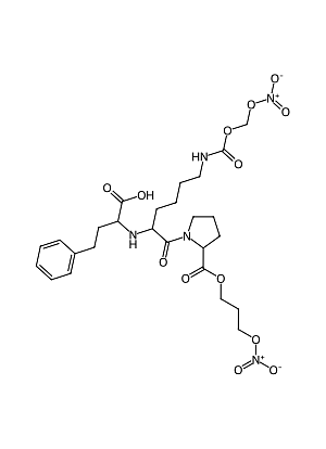 O=C(NCCCCC(NC(CCc1ccccc1)C(=O)O)C(=O)N1CCCC1C(=O)OCCCO[N+](=O)[O-])OCO[N+](=O)[O-]